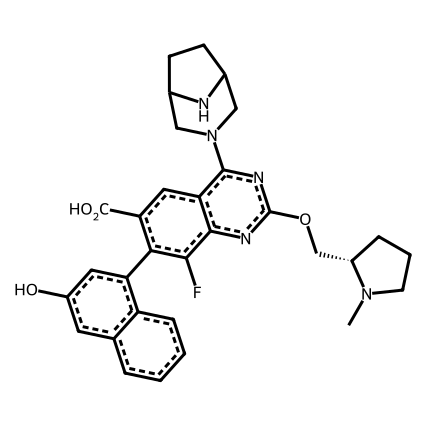 CN1CCC[C@H]1COc1nc(N2CC3CCC(C2)N3)c2cc(C(=O)O)c(-c3cc(O)cc4ccccc34)c(F)c2n1